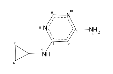 Nc1cc(NC2CC2)ncn1